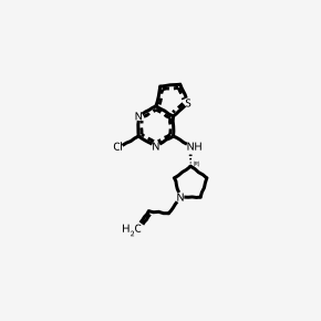 C=CCN1CC[C@@H](Nc2nc(Cl)nc3ccsc23)C1